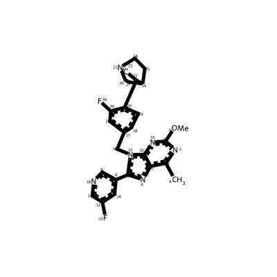 COc1nc(C)c2nc(-c3cncc(F)c3)n(Cc3ccc(C4CN5CCC4CC5)c(F)c3)c2n1